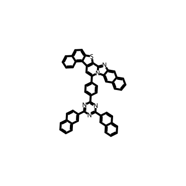 c1ccc2cc(-c3nc(-c4ccc(-c5cc6c(sc7ccc8ccccc8c76)c6nc7cc8ccccc8cc7n56)cc4)nc(-c4ccc5ccccc5c4)n3)ccc2c1